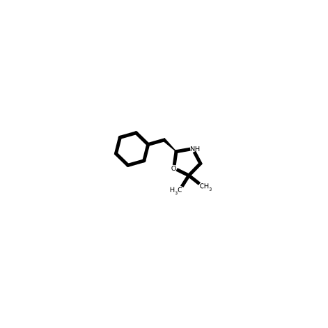 CC1(C)CN[C@H](CC2CCCCC2)O1